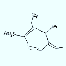 C=C1C=CC(S(=O)(=O)O)=C(C(C)C)C1C(C)C